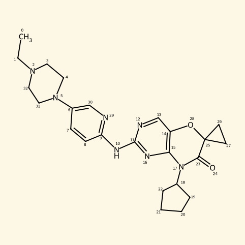 CCN1CCN(c2ccc(Nc3ncc4c(n3)N(C3CCCC3)C(=O)C3(CC3)O4)nc2)CC1